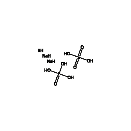 O=P(O)(O)O.O=S(=O)(O)O.[KH].[NaH].[NaH]